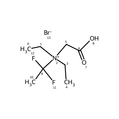 CC[N+](CC)(CC(=O)O)C(C)(F)F.[Br-]